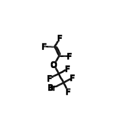 FC(F)=C(F)OC(F)(F)C(F)(F)Br